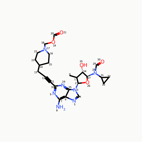 CC1[C@H](n2cnc3c(N)nc(C#CCC4CCN(COC=O)CC4)nc32)O[C@H](N(C=O)C2CC2)[C@H]1O